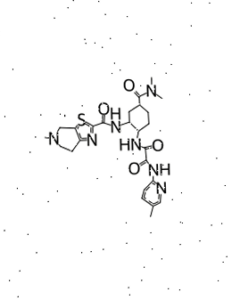 Cc1ccc(NC(=O)C(=O)NC2CCC(C(=O)N(C)C)CC2NC(=O)c2nc3c(s2)CN(C)CC3)nc1